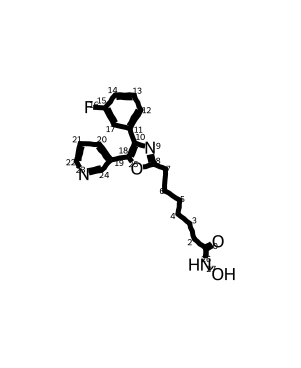 O=C(CCCCCCc1nc(-c2cccc(F)c2)c(-c2cccnc2)o1)NO